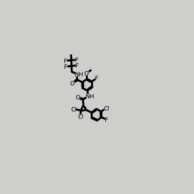 COc1c(F)cc(NC(=O)C2C(c3ccc(F)c(Cl)c3)C2(Cl)Cl)cc1C(=O)NCC(F)(F)C(C)(F)F